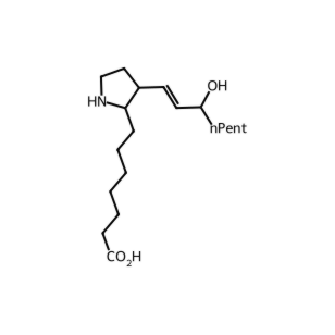 CCCCCC(O)/C=C/C1CCNC1CCCCCCC(=O)O